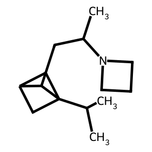 CC(CC1C2CC1(C(C)C)C2)N1CCC1